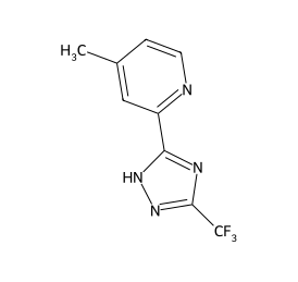 Cc1ccnc(-c2nc(C(F)(F)F)n[nH]2)c1